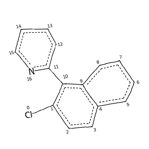 Clc1ccc2ccccc2c1-c1ccccn1